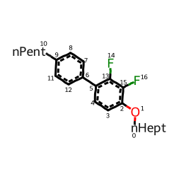 CCCCCCCOc1ccc(-c2ccc(CCCCC)cc2)c(F)c1F